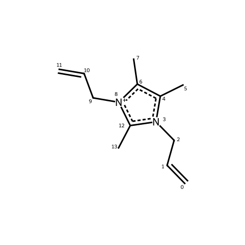 C=CCn1c(C)c(C)[n+](CC=C)c1C